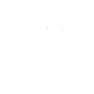 C#C[C@]1(CO)C[C@@H](n2ccc3c(N)nc(Cl)nc32)C[C@@H]1O